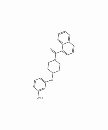 COc1cccc(OC2CCN(C(=O)c3cccc4cccnc34)CC2)c1